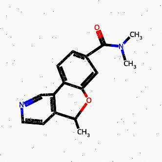 CC1Oc2cc(C(=O)N(C)C)ccc2-c2cnccc21